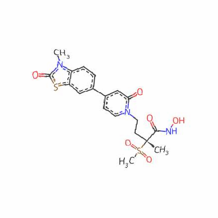 Cn1c(=O)sc2cc(-c3ccn(CC[C@](C)(C(=O)NO)S(C)(=O)=O)c(=O)c3)ccc21